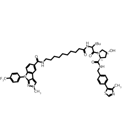 Cc1ncsc1-c1ccc(CNC(=O)[C@@H]2C[C@@H](O)CN2C(=O)C(NC(=O)CCCCCCCCCNC(=O)c2ccc3c(c2)c2cn(C)nc2n3-c2ccc(C(F)(F)F)cc2)C(C)(C)C)cc1